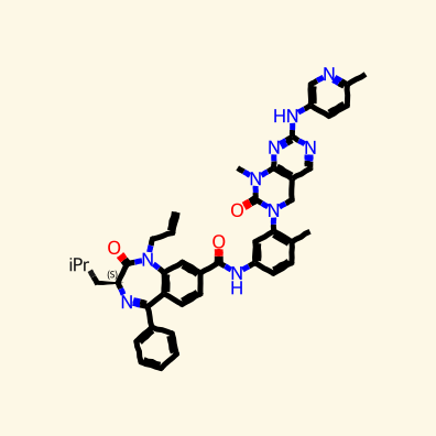 C=CCN1C(=O)[C@H](CC(C)C)N=C(c2ccccc2)c2ccc(C(=O)Nc3ccc(C)c(N4Cc5cnc(Nc6ccc(C)nc6)nc5N(C)C4=O)c3)cc21